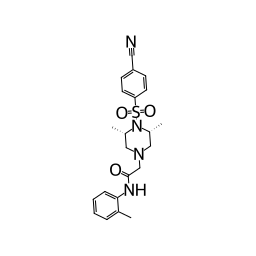 Cc1ccccc1NC(=O)CN1C[C@@H](C)N(S(=O)(=O)c2ccc(C#N)cc2)[C@@H](C)C1